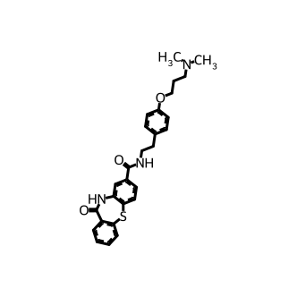 CN(C)CCCOc1ccc(CCNC(=O)c2ccc3c(c2)NC(=O)c2ccccc2S3)cc1